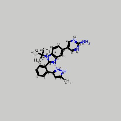 Cc1cc(-c2ccccc2-c2nc3cc(-c4cnc(N)nc4)ccc3n2C(C)(C)C)n[nH]1